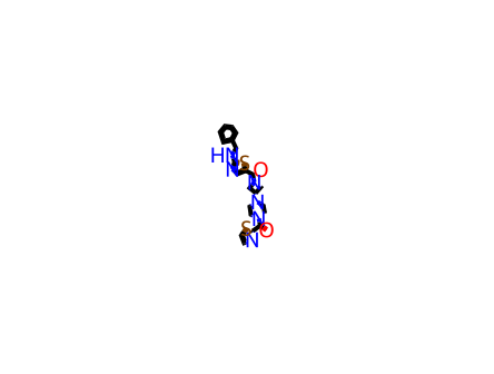 O=C(c1cnc(NCc2ccccc2)s1)N1CC(N2CCN(C(=O)c3nccs3)CC2)C1